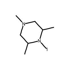 CC1CN(C)CC(C)N1I